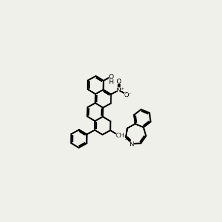 C1=Cc2ccccc2CC=N1.CC1CC(c2ccccc2)=c2ccc3c(c2C1)CC([N+](=O)[O-])=c1c(O)cccc1=3